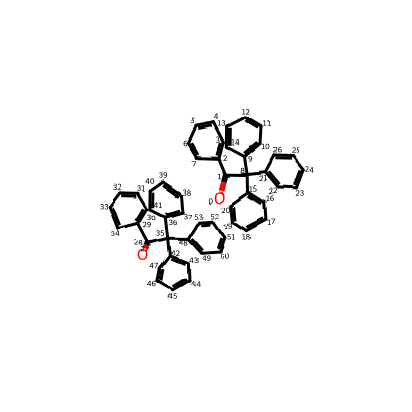 O=C(c1ccccc1)C(c1ccccc1)(c1ccccc1)c1ccccc1.O=C(c1ccccc1)C(c1ccccc1)(c1ccccc1)c1ccccc1